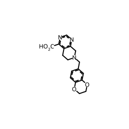 O=C(O)c1ncnc2c1CCN(Cc1ccc3c(c1)OCCO3)C2